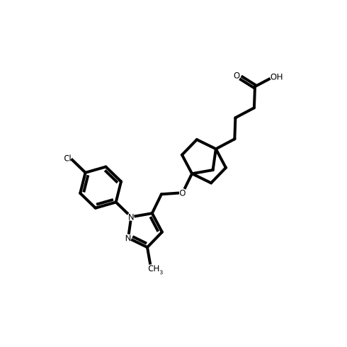 Cc1cc(COC23CCC(CCCC(=O)O)(CC2)C3)n(-c2ccc(Cl)cc2)n1